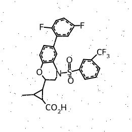 CC1C(C(=O)O)C1C1CN(S(=O)(=O)c2cccc(C(F)(F)F)c2)c2cc(-c3cc(F)ccc3F)ccc2O1